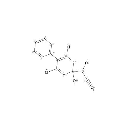 C#CC(O)C1(O)C=C(Cl)C(c2ccccc2)=C(Cl)C1